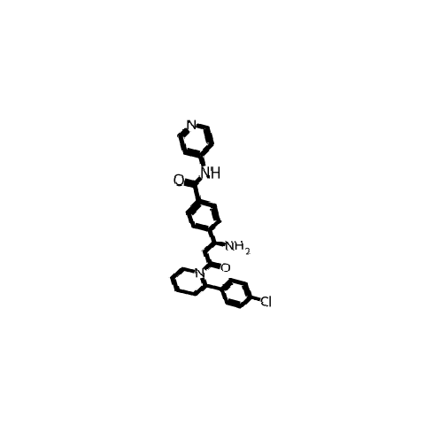 NC(CC(=O)N1CCCCC1c1ccc(Cl)cc1)c1ccc(C(=O)Nc2ccncc2)cc1